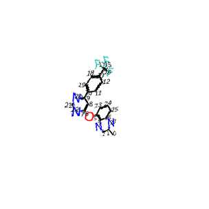 Cc1cnc2c(Oc3cc(-c4ccc(C(F)(F)F)cc4)ncn3)cccc2n1